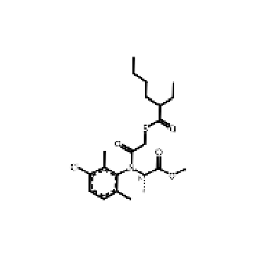 CCCCC(CC)C(=O)SCC(=O)N(c1c(C)ccc(Cl)c1C)[C@@H](C)C(=O)OC